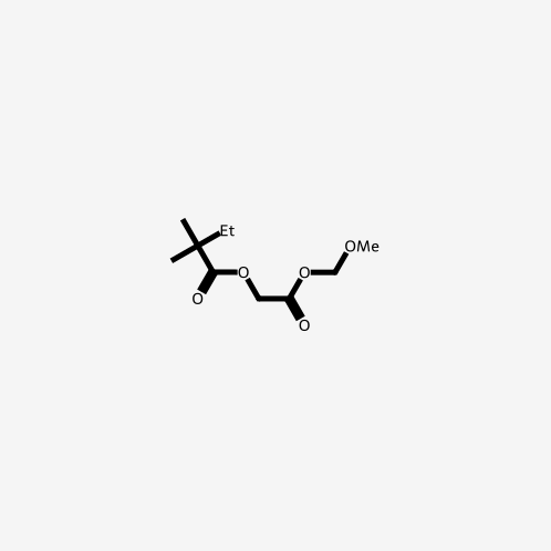 CCC(C)(C)C(=O)OCC(=O)OCOC